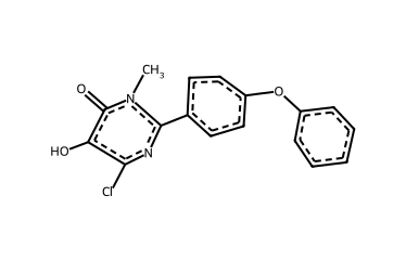 Cn1c(-c2ccc(Oc3ccccc3)cc2)nc(Cl)c(O)c1=O